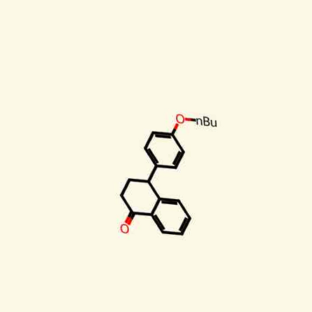 CCCCOc1ccc(C2CCC(=O)c3ccccc32)cc1